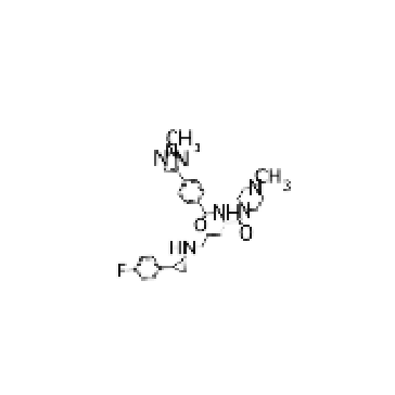 CN1CCN(C(=O)[C@H](CCCN[C@@H]2C[C@H]2c2ccc(F)cc2)NC(=O)c2ccc(-c3cnn(C)n3)cc2)CC1